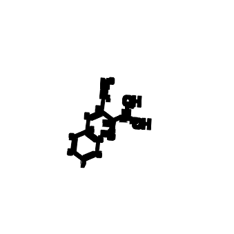 N#CC(=Cc1ccccc1)C(=S)N(O)O